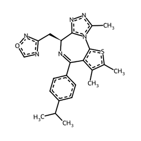 Cc1sc2c(c1C)C(c1ccc(C(C)C)cc1)=N[C@@H](Cc1ncon1)c1nnc(C)n1-2